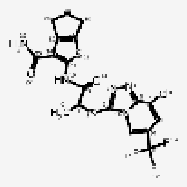 CC(Sc1nnc2c(Cl)cc(C(F)(F)F)cn12)C(=O)Nc1sc2c(c1C(N)=O)CCC2